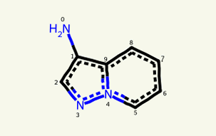 Nc1cnn2cc[c]cc12